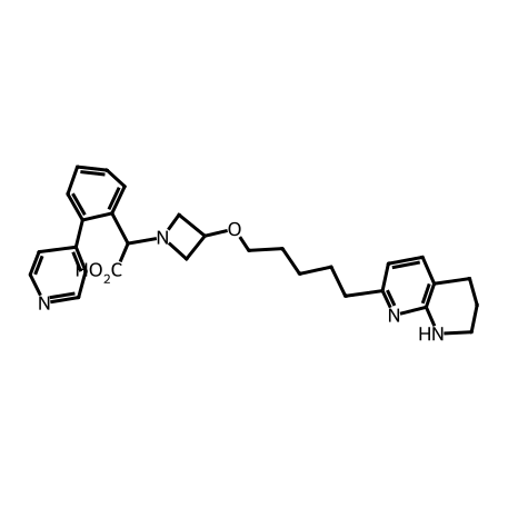 O=C(O)C(c1ccccc1-c1ccncc1)N1CC(OCCCCCc2ccc3c(n2)NCCC3)C1